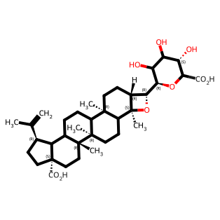 C=C(C)[C@@H]1CC[C@]2(C(=O)O)CC[C@]3(C)C(CCC4[C@@]5(C)CC[C@@H]6[C@H]([C@@H]7OC(C(=O)O)[C@@H](O)C(O)C7O)O[C@@]6(C)C5CC[C@]43C)C12